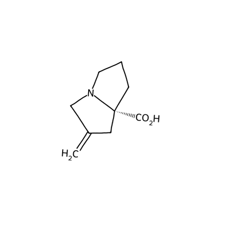 C=C1CN2CCC[C@@]2(C(=O)O)C1